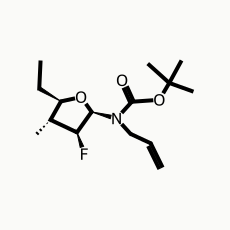 C=CCN(C(=O)OC(C)(C)C)[C@@H]1O[C@H](CC)[C@@H](C)[C@@H]1F